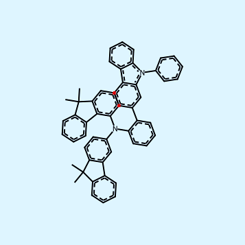 CC1(C)c2ccccc2-c2cc(N(c3ccccc3-c3ccc4c5ccccc5n(-c5ccccc5)c4c3)c3cccc4c3-c3ccccc3C4(C)C)ccc21